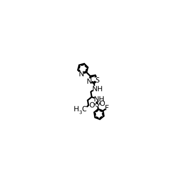 CCCC(CNc1nc(-c2ccccn2)cs1)NS(=O)(=O)c1ccccc1F